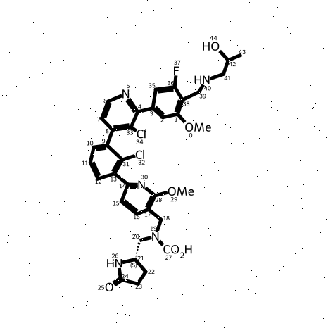 COc1cc(-c2nccc(-c3cccc(-c4ccc(CN(C[C@@H]5CCC(=O)N5)C(=O)O)c(OC)n4)c3Cl)c2Cl)cc(F)c1CNCC(C)O